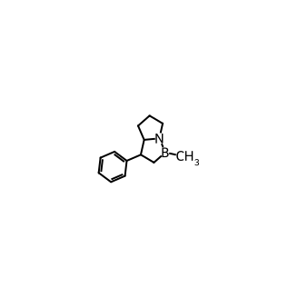 CB1CC(c2ccccc2)C2CCCN12